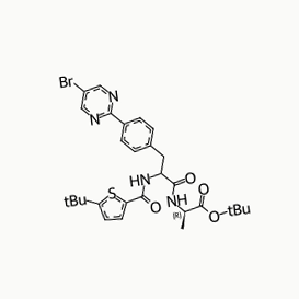 C[C@@H](NC(=O)C(Cc1ccc(-c2ncc(Br)cn2)cc1)NC(=O)c1ccc(C(C)(C)C)s1)C(=O)OC(C)(C)C